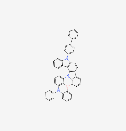 c1ccc(-c2ccc(-n3c4ccccc4c4c3ccc3c5cccc6c5n(c34)-c3cccc4c3B6c3ccccc3N4c3ccccc3)cc2)cc1